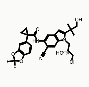 CC(C)(CO)c1cc2cc(NC(=O)C3(c4ccc5c(c4)OC(F)(F)O5)CC3)c(C#N)cc2n1C[C@@H](O)CO